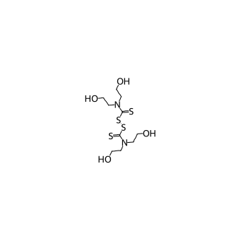 OCCN(CCO)C(=S)SSC(=S)N(CCO)CCO